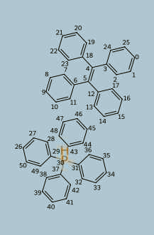 c1ccc(C(=C(c2ccccc2)c2ccccc2)c2ccccc2)cc1.c1ccc([PH](c2ccccc2)(c2ccccc2)c2ccccc2)cc1